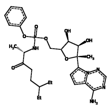 CCC(CC)CCC(=O)[C@H](C)NP(=O)(OCC1O[C@@](C)(c2ccc3c(N)ncnn23)[C@H](O)[C@@H]1O)Oc1ccccc1